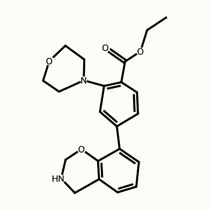 CCOC(=O)c1ccc(-c2cccc3c2OCNC3)cc1N1CCOCC1